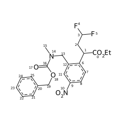 CCOC(=O)C(CC(F)F)c1ccc([N+](=O)[O-])cc1CN(C)C(=O)OCc1ccccc1